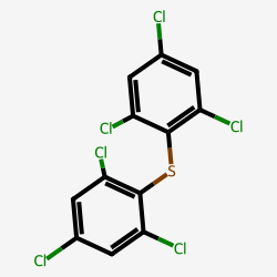 Clc1cc(Cl)c(Sc2c(Cl)cc(Cl)cc2Cl)c(Cl)c1